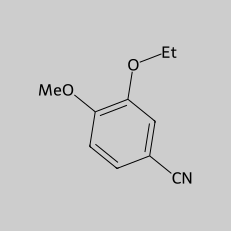 CCOc1cc(C#N)ccc1OC